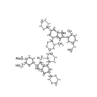 CC1COCCN1c1nc(N2CCOCC2)nc2[nH]c(-c3cc(CO)ccc3Cl)nc12.COc1ccc(-c2nc3c(N4CCOCC4C)nc(N4CCOCC4)nc3[nH]2)cc1C(=O)O